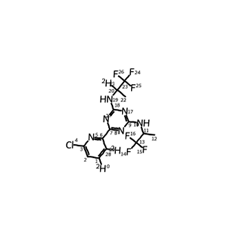 [2H]c1cc(Cl)nc(-c2nc(NC(C)C(F)(F)F)nc(NC([2H])(C)C(F)(F)F)n2)c1[2H]